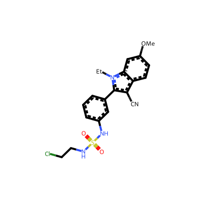 CCn1c(-c2cccc(NS(=O)(=O)NCCCl)c2)c(C#N)c2ccc(OC)cc21